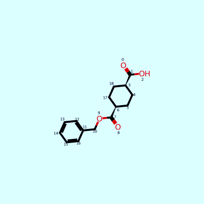 O=C(O)[C@H]1CC[C@@H](C(=O)OCc2ccccc2)CC1